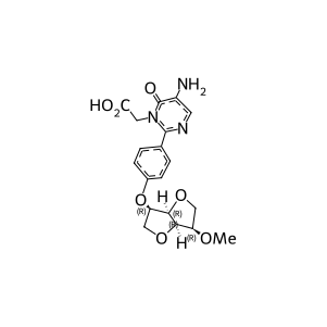 CO[C@@H]1CO[C@H]2[C@@H]1OC[C@H]2Oc1ccc(-c2ncc(N)c(=O)n2CC(=O)O)cc1